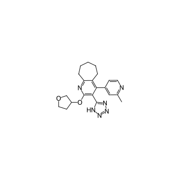 Cc1cc(-c2c3c(nc(OC4CCOC4)c2-c2nnn[nH]2)CCCCC3)ccn1